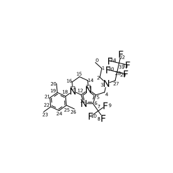 CCCN(Cc1c(C(F)(F)F)nc2n1CCCN2c1c(C)cc(C)cc1C)CC(F)(F)C(F)(F)F